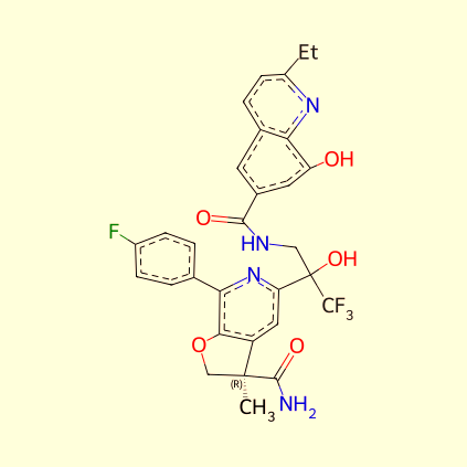 CCc1ccc2cc(C(=O)NCC(O)(c3cc4c(c(-c5ccc(F)cc5)n3)OC[C@]4(C)C(N)=O)C(F)(F)F)cc(O)c2n1